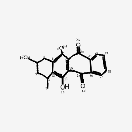 CC1CC(O)Cc2c(O)c3c(c(O)c21)C(=O)c1ccccc1C3=O